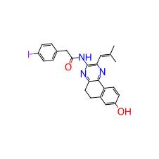 CC(C)=Cc1nc2c(nc1NC(=O)Cc1ccc(I)cc1)CCc1cc(O)ccc1-2